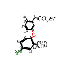 CCOC(=O)Cc1cc(Oc2ccc(Br)cc2C=O)ccc1C